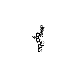 CCn1c2ccc(C(=O)c3ccc(Br)cc3C)cc2c2c3c(ccc21)/C(=N/OC(C)=O)CO3